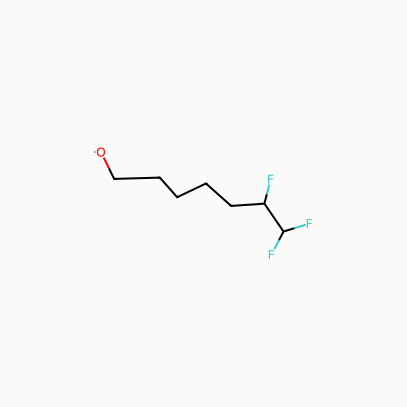 [O]CCCCCC(F)C(F)F